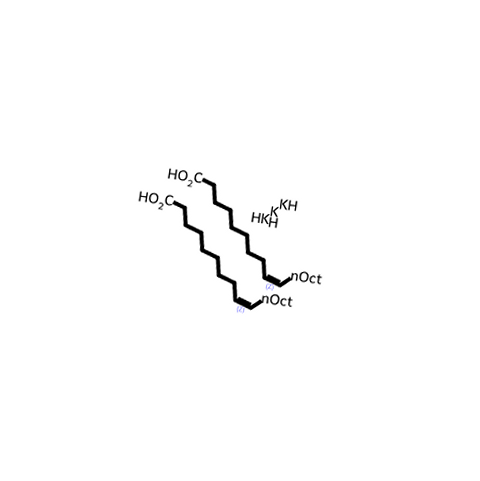 CCCCCCCC/C=C\CCCCCCCC(=O)O.CCCCCCCC/C=C\CCCCCCCC(=O)O.[KH].[KH].[KH]